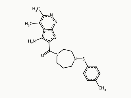 Cc1ccc(SN2CCCN(C(=O)c3sc4nnc(C)c(C)c4c3N)CC2)cc1